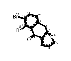 O=C1c2ccccc2Cc2ccc(Br)c(Br)c21